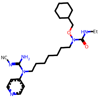 CCNC(=O)N(CCCCCCCN(C(N)=NC#N)c1ccncc1)OCC1CCCCC1